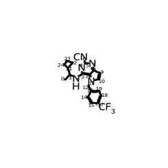 CC(Nc1nc(C#N)nc2ccn(Cc3ccc(C(F)(F)F)cc3)c12)C1CCC1